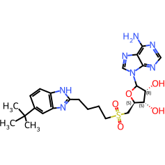 CC(C)(C)c1ccc2[nH]c(CCCCS(=O)(=O)C[C@H]3OC(n4cnc5c(N)ncnc54)[C@H](O)[C@@H]3O)nc2c1